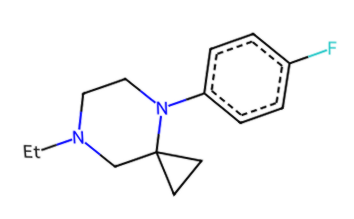 CCN1CCN(c2ccc(F)cc2)C2(CC2)C1